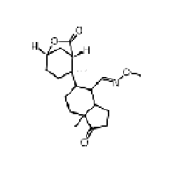 CON=CC1C2CCC(=O)C2(C)CCC1[C@@]1(C)CC[C@H]2C[C@@H]1C(=O)O2